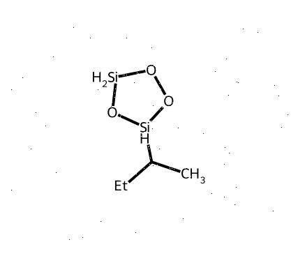 CCC(C)[SiH]1OO[SiH2]O1